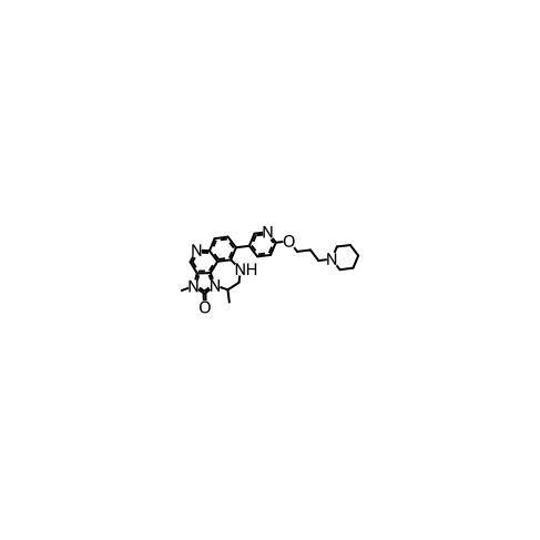 CC1CNc2c(-c3ccc(OCCCN4CCCCC4)nc3)ccc3ncc4c(c23)n1c(=O)n4C